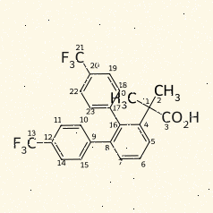 CC(C)(C(=O)O)c1cccc(-c2ccc(C(F)(F)F)cc2)c1-c1ccc(C(F)(F)F)cc1